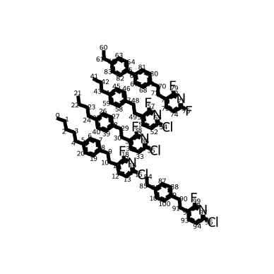 CCCCCc1ccc(CCc2ccc(Cl)nc2F)cc1.CCCCc1ccc(CCc2ccc(Cl)nc2F)cc1.CCCc1ccc(CCc2ccc(Cl)nc2F)cc1.CCc1ccc(-c2ccc(CCc3ccc(F)nc3F)cc2)cc1.CCc1ccc(CCc2ccc(Cl)nc2F)cc1